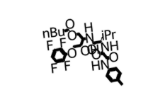 CCCCC(=O)OCC(NC(=O)[C@@H](NC(=O)C(=O)Nc1ccc(C)cc1)C(C)C)C(O)COc1c(F)c(F)cc(F)c1F